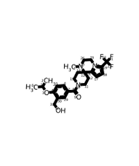 CC(C)Oc1ccc(C(=O)N2CCC3(CC2)c2ccc(C(F)(F)F)n2CCN3C)cc1CO